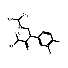 CC(C)NCC(C(=O)C(C)C)c1ccc(F)c(F)c1